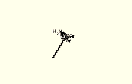 CCCCCCCCCCCCCCCCO[C@@H]1[C@H](OC(C)C)[C@@H](COC(C)C)O[C@H]1n1ccc(N)nc1=O